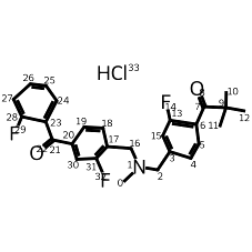 CN(Cc1ccc(C(=O)C(C)(C)C)c(F)c1)Cc1ccc(C(=O)c2ccccc2F)cc1F.Cl